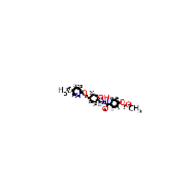 COCOc1ccc(C(=O)NC[C@]2(O)CC[C@H](COc3ccc(C)cn3)CC2)cc1